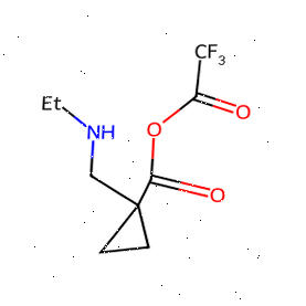 CCNCC1(C(=O)OC(=O)C(F)(F)F)CC1